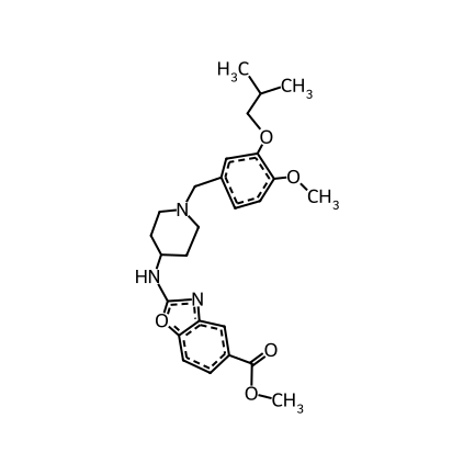 COC(=O)c1ccc2oc(NC3CCN(Cc4ccc(OC)c(OCC(C)C)c4)CC3)nc2c1